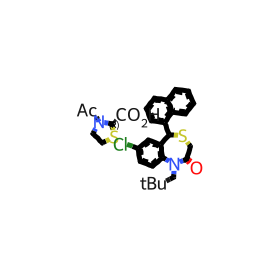 CC(=O)N1CCS[C@@H]1C(=O)O.CC(C)(C)CN1C(=O)CSC(c2cccc3ccccc23)c2cc(Cl)ccc21